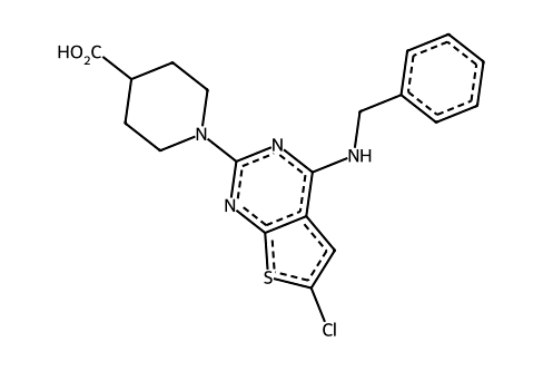 O=C(O)C1CCN(c2nc(NCc3ccccc3)c3cc(Cl)sc3n2)CC1